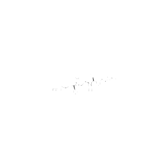 O=C(NCCNC(=O)OCCO)OCCO